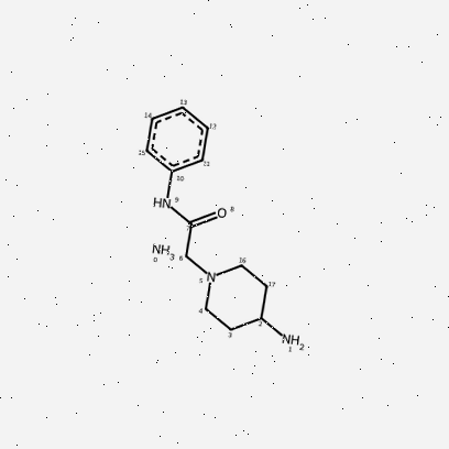 N.NC1CCN(CC(=O)Nc2ccccc2)CC1